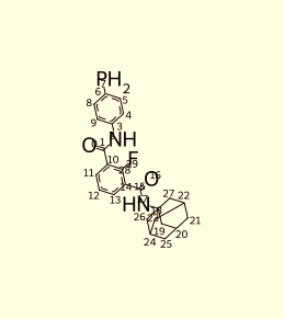 O=C(Nc1ccc(P)cc1)c1cccc(C(=O)NC23CC4CC(CC(C4)C2)C3)c1F